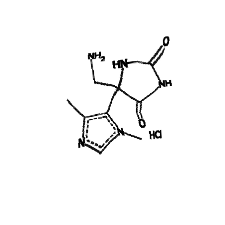 Cc1ncn(C)c1C1(CN)NC(=O)NC1=O.Cl